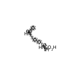 CC(C)C(NC(=O)CCc1ccc(-c2ccc(CCCCNC(=O)OCc3ccccc3)cc2)cc1)C(=O)O